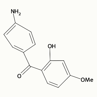 COc1ccc(C(=O)c2ccc(N)cc2)c(O)c1